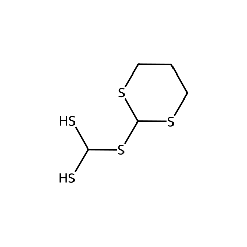 SC(S)SC1SCCCS1